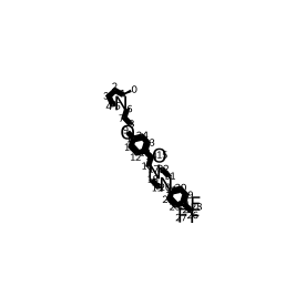 C[C@@H]1CCCN1CCCOc1ccc(C(=O)CN2CCN(c3ccc(C(F)(F)F)cc3)CC2)cc1